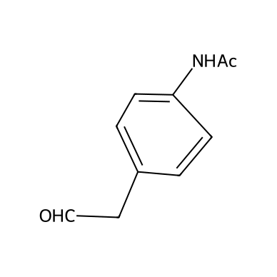 CC(=O)Nc1ccc(CC=O)cc1